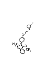 Cc1nc2cccc(C(F)(F)F)c2c(=O)n1-c1ccc(OCCCN2CC[C@@H](F)C2)cc1